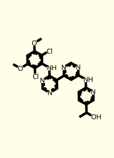 COc1cc(OC)c(Cl)c(Nc2ncncc2-c2cc(Nc3ccc(C(C)O)cn3)ncn2)c1Cl